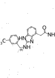 C[C@@H](Nc1nc2c(CC(N)=O)cccc2[nH]1)c1cccc(C(F)(F)F)c1